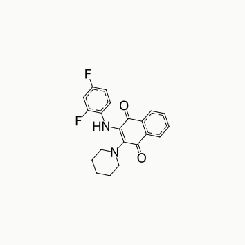 O=C1C(Nc2ccc(F)cc2F)=C(N2CCCCC2)C(=O)c2ccccc21